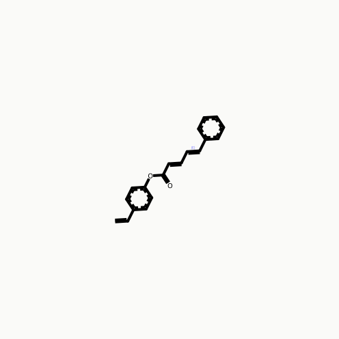 C=Cc1ccc(OC(=O)C=C/C=C/c2ccccc2)cc1